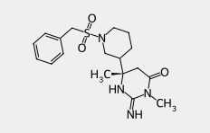 CN1C(=N)N[C@](C)(C2CCCN(S(=O)(=O)Cc3ccccc3)C2)CC1=O